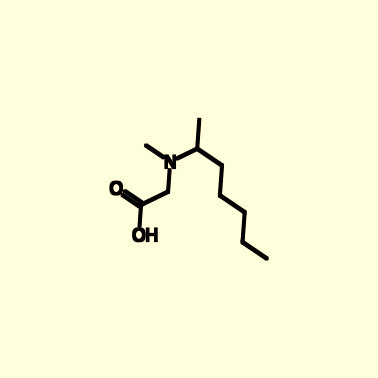 CCCCCC(C)N(C)CC(=O)O